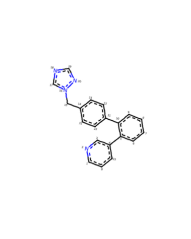 c1cncc(-c2ccccc2-c2ccc(Cn3cncn3)cc2)c1